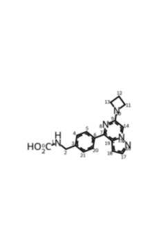 O=C(O)NCc1ccc(-c2nc(N3CCC3)cn3nccc23)cc1